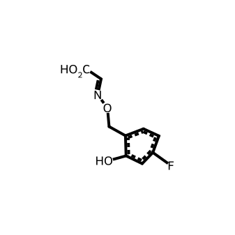 O=C(O)C=NOCc1ccc(F)cc1O